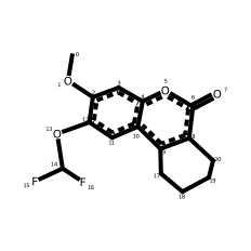 COc1cc2oc(=O)c3c(c2cc1OC(F)F)CCCC3